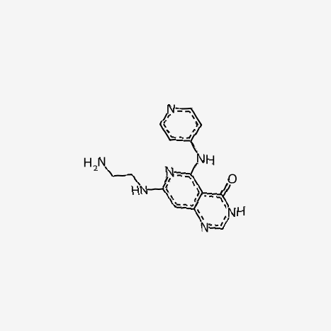 NCCNc1cc2nc[nH]c(=O)c2c(Nc2ccncc2)n1